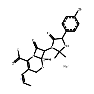 C/C=C\C1=C(C(=O)[O-])N2C(=O)C(N3C(=O)C(c4ccc(O)cc4)NC3(C)C)[C@@H]2SC1.[Na+]